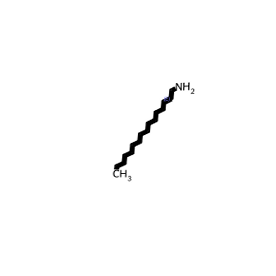 CCCCCCCCCCCCC/C=C/CN